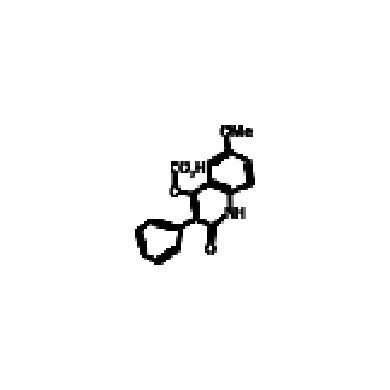 COc1ccc2[nH]c(=O)c(-c3ccccc3)c(OC(=O)O)c2c1